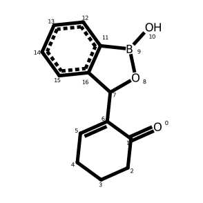 O=C1CCCC=C1C1OB(O)c2ccccc21